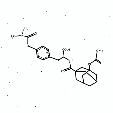 COC(=O)NC12CC3CC(C1)CC(C(=O)N[C@@H](Cc1ccc(OC(=O)N(C)C)cc1)C(=O)O)(C3)C2